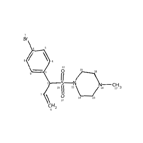 C=CC(c1ccc(Br)cc1)S(=O)(=O)N1CCN(C)CC1